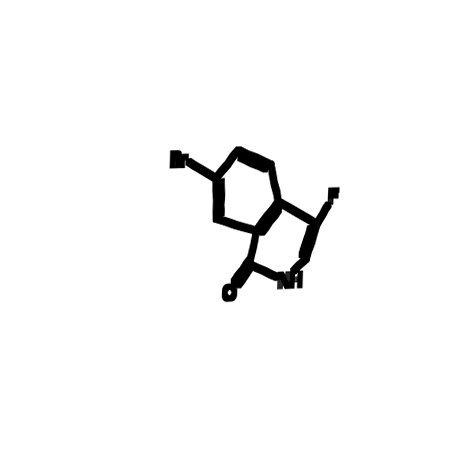 O=c1[nH]cc(F)c2ccc(Br)cc12